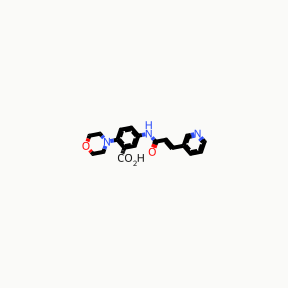 O=C(C=Cc1cccnc1)Nc1ccc(N2CCOCC2)c(C(=O)O)c1